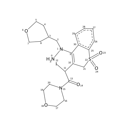 NN(CC1CCOCC1)C1=C(C(I)C(=O)N2CCOCC2)CS(=O)(=O)c2ccccc21